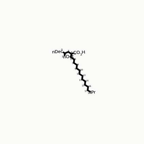 CCCCCCCCCCC(CCCCCCCC)CC(CCCCCCCCCCCCCC(C)C)C(=O)O